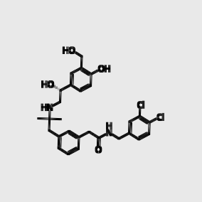 CC(C)(Cc1cccc(CC(=O)NCc2ccc(Cl)c(Cl)c2)c1)NC[C@H](O)c1ccc(O)c(CO)c1